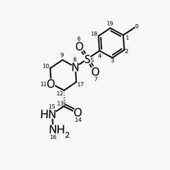 Cc1ccc(S(=O)(=O)N2CCO[C@@H](C(=O)NN)C2)cc1